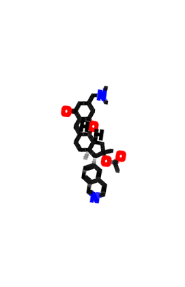 CC(=O)OC1(C)C[C@H]2[C@@H]3OC4=C(C=C3CC[C@]2(C)[C@H]1c1ccc2cnccc2c1)C(=O)CC(CN(C)C)C4